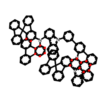 c1ccc(-c2ccccc2-c2ccccc2-c2ccc(-c3cccc(-n4c5ccccc5c5c(N(c6ccc7c(c6)-c6ccccc6C76c7ccccc7-c7ccccc76)c6ccccc6-c6ccccc6-c6ccccc6-c6ccccc6)cccc54)c3)cc2N(c2ccc3c(c2)-c2ccccc2C32c3ccccc3-c3ccccc32)c2cccc3c2sc2ccccc23)cc1